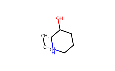 CC.OC1CCCNC1